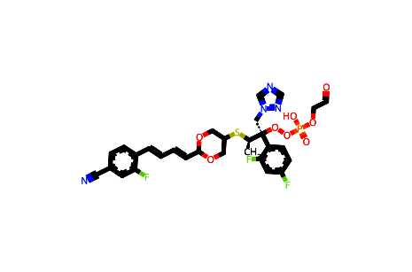 C[C@@H](SC1COC(C=CC=Cc2ccc(C#N)cc2F)OC1)[C@@](Cn1cncn1)(OOP(=O)(O)OCC=O)c1ccc(F)cc1F